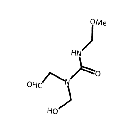 COCNC(=O)N(CO)CC=O